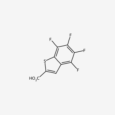 O=C(O)c1cc2c(F)c(F)c(F)c(F)c2s1